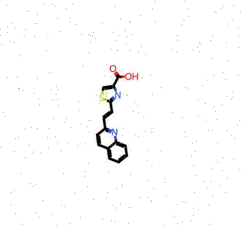 O=C(O)c1csc(C=Cc2ccc3ccccc3n2)n1